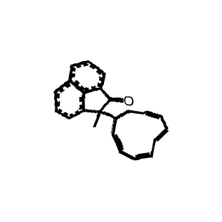 CC1(C2\C=C/C=C\C=C\C=C/C2)C(=O)c2cccc3cccc1c23